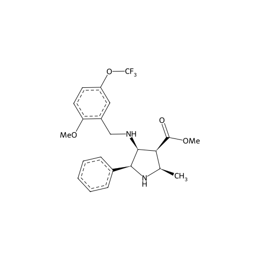 COC(=O)[C@@H]1[C@H](NCc2cc(OC(F)(F)F)ccc2OC)[C@H](c2ccccc2)N[C@@H]1C